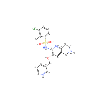 Cc1c(Cl)cccc1S(=O)(=O)Nc1nc2c(cc1OCc1cccnc1)CN(C)CC2